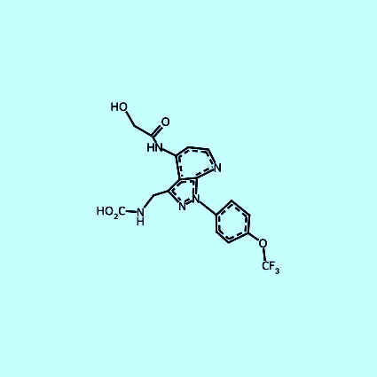 O=C(O)NCc1nn(-c2ccc(OC(F)(F)F)cc2)c2nccc(NC(=O)CO)c12